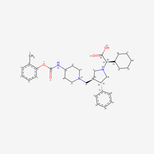 Cc1ccccc1OC(=O)NC1CCN(C[C@H]2CN([C@@H](C(=O)O)C3CCCCC3)C[C@@H]2c2ccccc2)CC1